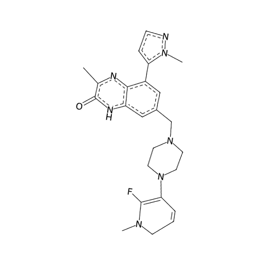 Cc1nc2c(-c3ccnn3C)cc(CN3CCN(C4=C(F)N(C)CC=C4)CC3)cc2[nH]c1=O